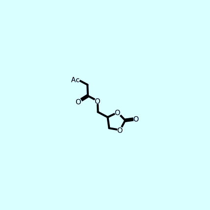 CC(=O)CC(=O)OCC1COC(=O)O1